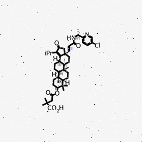 CC(C)C1=C2[C@H]3CC[C@@H]4[C@@]5(C)CC[C@H](OC(=O)CC(C)(C)C(=O)O)C(C)(C)[C@@H]5CC[C@@]4(C)[C@]3(C)CC[C@@]2(/C=C/C(=O)N[C@H](C)c2ccc(Cl)cn2)CC1=O